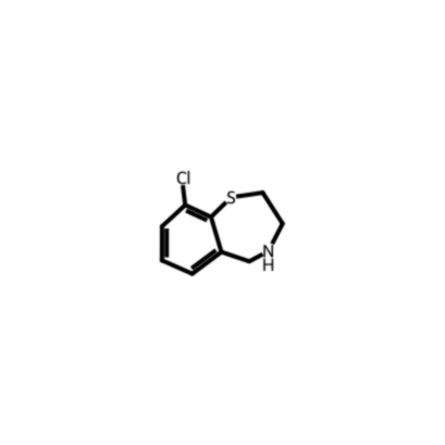 Clc1cccc2c1SCCNC2